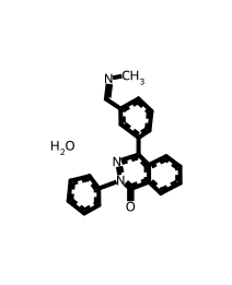 C/N=C\c1cccc(-c2nn(-c3ccccc3)c(=O)c3ccccc23)c1.O